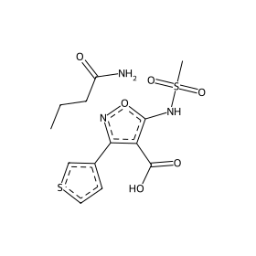 CCCC(N)=O.CS(=O)(=O)Nc1onc(-c2ccsc2)c1C(=O)O